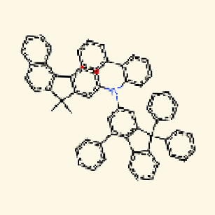 CC1(C)c2cc(N(c3cc(-c4ccccc4)c4c(c3)C(c3ccccc3)(c3ccccc3)c3ccccc3-4)c3ccccc3-c3ccccc3)ccc2-c2c1ccc1ccccc21